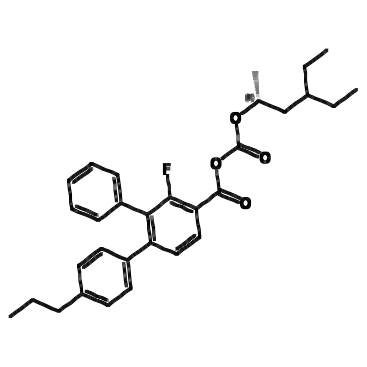 CCCc1ccc(-c2ccc(C(=O)OC(=O)O[C@H](C)CC(CC)CC)c(F)c2-c2ccccc2)cc1